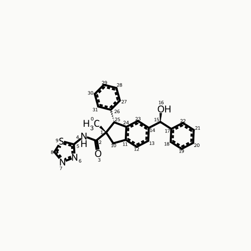 C[C@]1(C(=O)Nc2nncs2)Cc2ccc([C@@H](O)c3ccccc3)cc2[C@H]1c1ccccc1